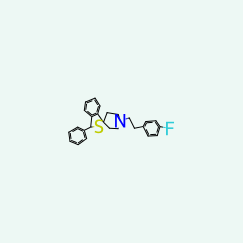 Fc1ccc(CCN2CCC3(CC2)SC(c2ccccc2)c2ccccc23)cc1